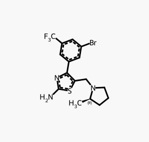 C[C@@H]1CCCN1Cc1sc(N)nc1-c1cc(Br)cc(C(F)(F)F)c1